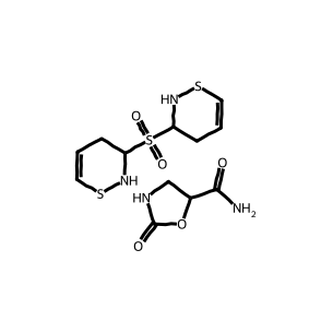 NC(=O)C1CNC(=O)O1.O=S(=O)(C1CC=CSN1)C1CC=CSN1